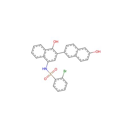 O=S(=O)(Nc1cc(-c2ccc3cc(O)ccc3c2)c(O)c2ccccc12)c1ccccc1Br